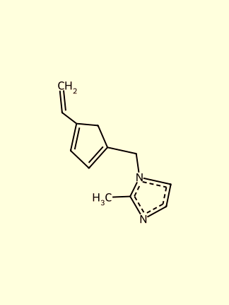 C=CC1=CC=C(Cn2ccnc2C)C1